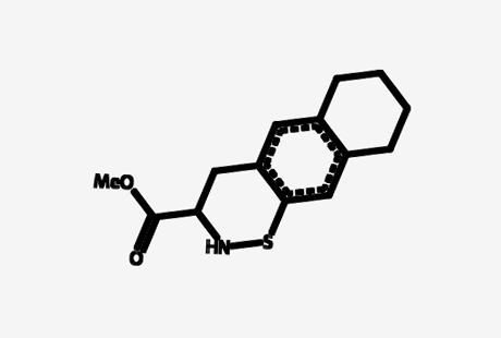 COC(=O)C1Cc2cc3c(cc2SN1)CCCC3